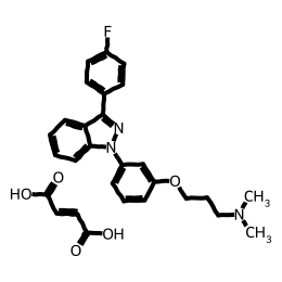 CN(C)CCCOc1cccc(-n2nc(-c3ccc(F)cc3)c3ccccc32)c1.O=C(O)C=CC(=O)O